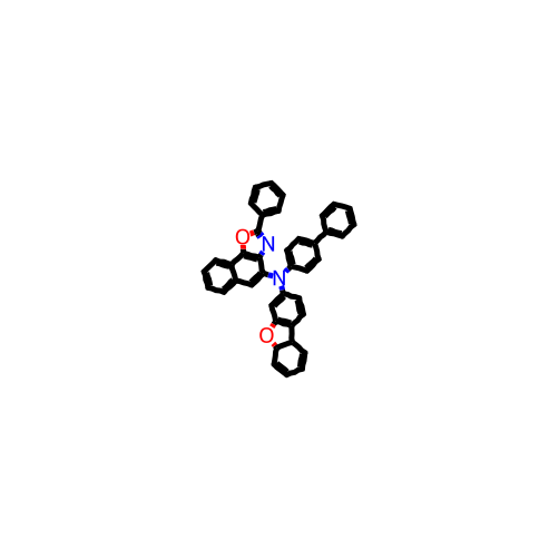 C1=CC2Oc3cc(N(c4ccc(-c5ccccc5)cc4)c4cc5ccccc5c5oc(-c6ccccc6)nc45)ccc3C2C=C1